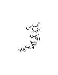 O=C(Cc1cc(F)cc(Cl)c1)N[C@H]1C[C@H](NCCC(F)(F)F)C1